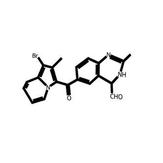 CC1=Nc2ccc(C(=O)c3c(C)c(Br)c4ccccn34)cc2C(C=O)N1